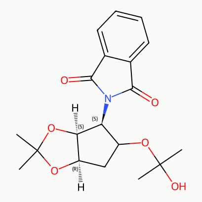 CC(C)(O)OC1C[C@H]2OC(C)(C)O[C@H]2[C@H]1N1C(=O)c2ccccc2C1=O